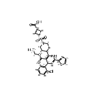 CCOC(=O)C1=C(C2CCN(S(=O)(=O)[C@H]3C[C@H](C(=O)O)C3)CC2)NC(c2nccs2)=NC1c1ccccc1Cl